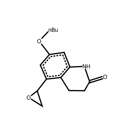 CCCCOc1cc2c(c(C3CO3)c1)CCC(=O)N2